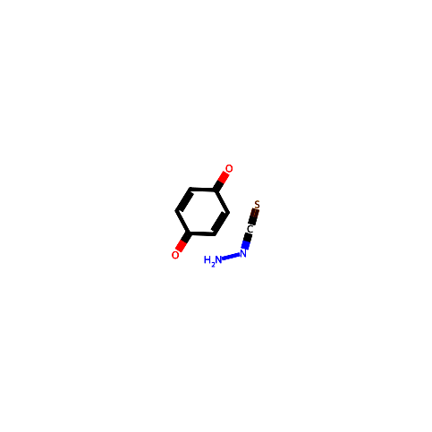 NN=C=S.O=C1C=CC(=O)C=C1